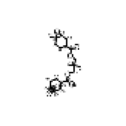 CC(C)(COC(=O)C1CCC2(C)OC2C1)COC(=O)C1CCC2(C)O[C@H]2C1